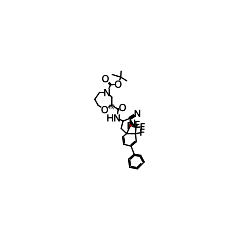 CC(C)(C)OC(=O)N1CCCO[C@H](C(=O)NC(C#N)CC2(C#N)C=CC(c3ccccc3)=CC2(F)C(F)(F)F)C1